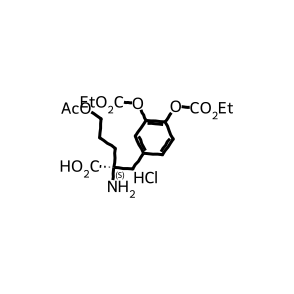 CCOC(=O)Oc1ccc(C[C@@](N)(CCCOC(C)=O)C(=O)O)cc1OC(=O)OCC.Cl